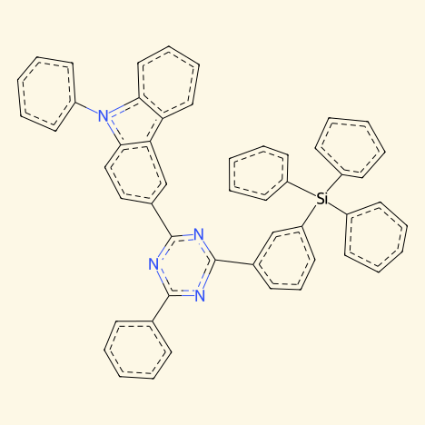 c1ccc(-c2nc(-c3cccc([Si](c4ccccc4)(c4ccccc4)c4ccccc4)c3)nc(-c3ccc4c(c3)c3ccccc3n4-c3ccccc3)n2)cc1